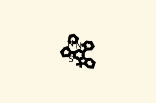 CC1(C)c2ccccc2-c2c1c1sc3ccccc3c1c1c2c2ccccc2n1-c1ccccn1